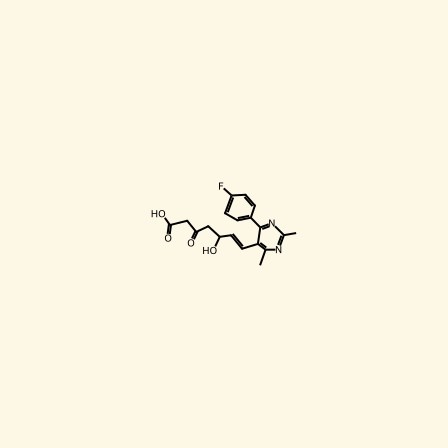 Cc1nc(C)c(C=CC(O)CC(=O)CC(=O)O)c(-c2ccc(F)cc2)n1